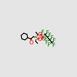 CCS(CC)(CC(=O)C1CCCCC1)OS(=O)(=O)C(F)(F)C(F)(F)C(F)(F)C(F)(F)F